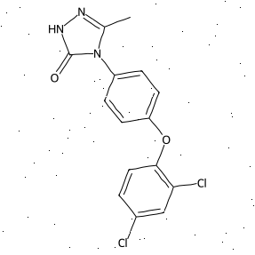 Cc1n[nH]c(=O)n1-c1ccc(Oc2ccc(Cl)cc2Cl)cc1